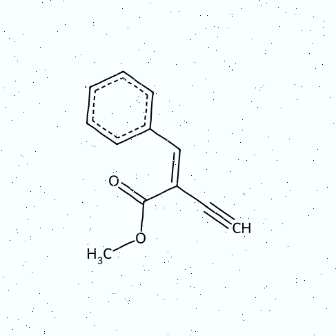 C#CC(=Cc1cc[c]cc1)C(=O)OC